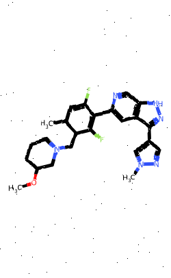 COC1CCCN(CC2C(F)=C(c3cc4c(-c5cnn(C)c5)n[nH]c4cn3)C(F)=CC2C)C1